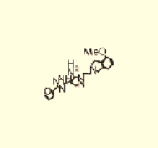 COc1cccc2c1CCN(CCn1ncc(-c3nc(-c4ccco4)n[nH]3)c1N)C2